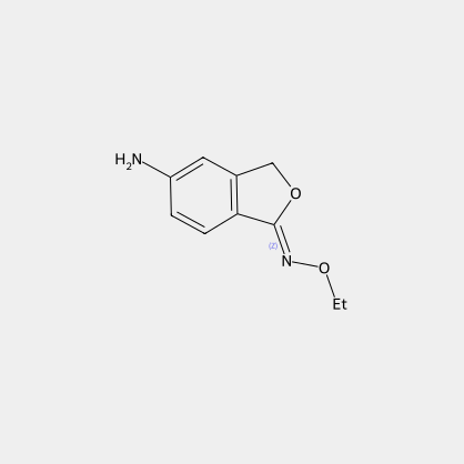 CCO/N=C1\OCc2cc(N)ccc21